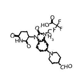 Cn1c(=O)n(C2CCC(=O)NC2=O)c2ccc(N3CCC(C=O)CC3)cc21.O=C(O)C(F)(F)F